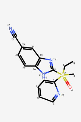 CCS(C)(=O)(c1ccccn1)c1nc2cc(C#N)ccc2[nH]1